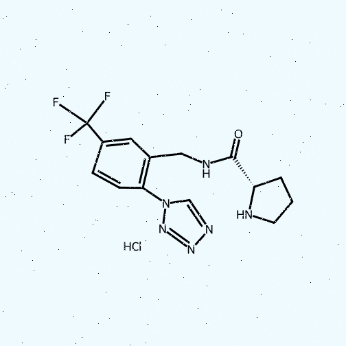 Cl.O=C(NCc1cc(C(F)(F)F)ccc1-n1cnnn1)[C@@H]1CCCN1